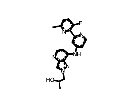 Cc1ccc(F)c(-c2cc(Nc3ccnc4cn(C[C@@H](C)O)nc34)ccn2)n1